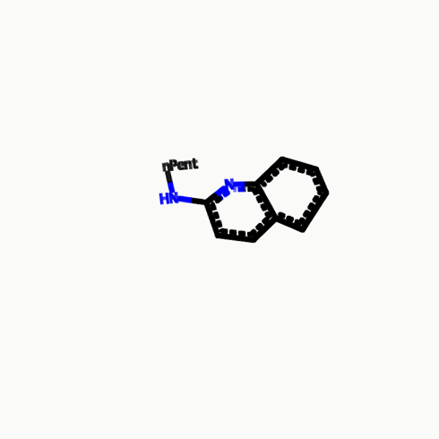 CCCCCNc1ccc2ccccc2n1